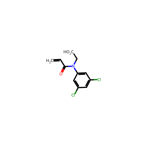 C=CC(=O)N(CC(=O)O)c1cc(Cl)cc(Cl)c1